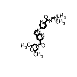 CC1CN(C(=O)c2cnc3c(ccn3-c3ccc(C(=O)/N=C/N(C)C)nc3)c2)CC(C)O1